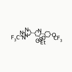 CCS(=O)(=O)c1cc(-c2cnc3nc(C(F)(F)F)nn3c2)cnc1-c1ccc(OC(F)(F)F)cc1